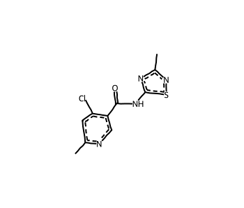 Cc1cc(Cl)c(C(=O)Nc2nc(C)ns2)cn1